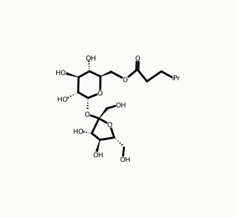 CC(C)CCC(=O)OC[C@H]1O[C@H](O[C@]2(CO)O[C@H](CO)[C@@H](O)[C@@H]2O)[C@H](O)[C@@H](O)[C@@H]1O